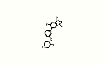 Cc1n[nH]c2cc(F)c(-c3cncc(O[C@H]4CCNC[C@@H]4F)n3)cc12